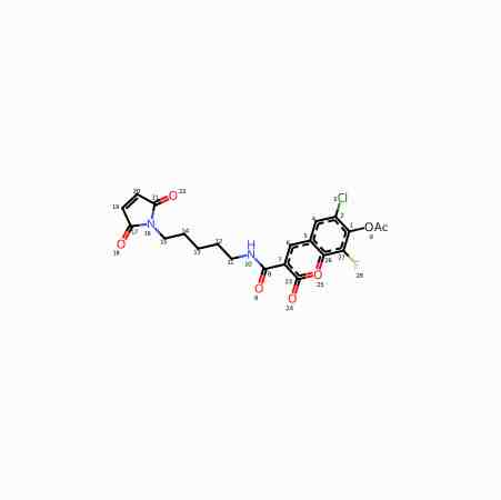 CC(=O)Oc1c(Cl)cc2cc(C(=O)NCCCCCN3C(=O)C=CC3=O)c(=O)oc2c1F